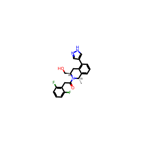 C[C@H]1c2cccc(-c3cn[nH]c3)c2C[C@H](CO)N1C(=O)Cc1c(F)cccc1F